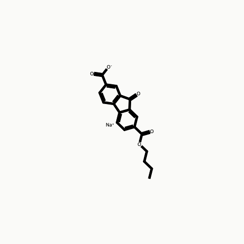 CCCCOC(=O)c1ccc2c(c1)C(=O)c1cc(C(=O)[O-])ccc1-2.[Na+]